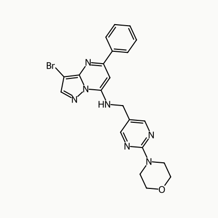 Brc1cnn2c(NCc3cnc(N4CCOCC4)nc3)cc(-c3ccccc3)nc12